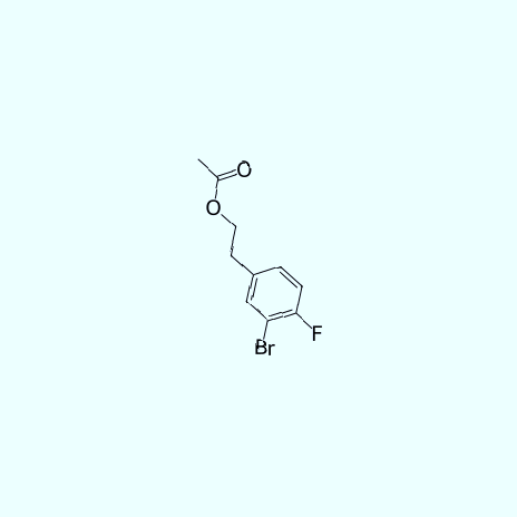 CC(=O)OCCc1ccc(F)c(Br)c1